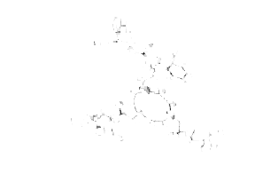 CC(C)COC(=O)CN1CCN(CCN(CC(=O)OCC(C)C)Cc2ccccc2)CCN(CC(=O)OCC(C)C)CC1